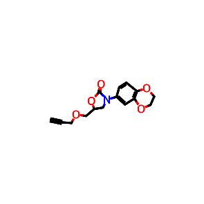 C#CCOCC1CN(c2ccc3c(c2)OCCO3)C(=O)O1